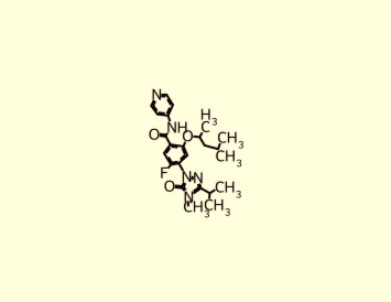 CC(C)CC(C)Oc1cc(-n2nc(C(C)C)n(C)c2=O)c(F)cc1C(=O)Nc1ccncc1